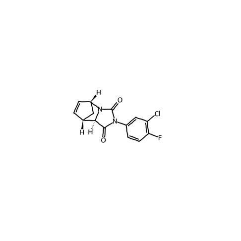 O=C1[C@H]2[C@@H]3C=C[C@@H](C3)N2C(=O)N1c1ccc(F)c(Cl)c1